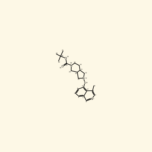 Cc1cncc2cccc(SN3CC4CCN(C(=O)OC(C)(C)C)CC4C3)c12